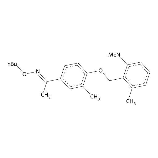 CCCCO/N=C(\C)c1ccc(OCc2c(C)cccc2NC)c(C)c1